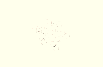 Cc1ccc2c(c1)c1cc(C)ccc1n2-c1c(C#N)c(-n2c3ccc(C)cc3c3cc(C)ccc32)c(-n2c3ccc(C)cc3c3cc(C)ccc32)c(-n2c3ccc(C)cc3c3cc(C)ccc32)c1-c1cc(-c2ccccc2)nc(-c2ccccc2)c1